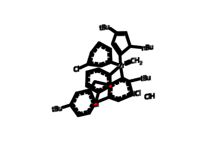 Cl.Cl.[CH2]=[Zr]([C]1=CC(C(C)(C)C)=CC1CCCC)([c]1cccc(Cl)c1)([c]1cccc(Cl)c1)[c]1c(C(C)(C)C)ccc2c1Cc1cc(C(C)(C)C)ccc1-2